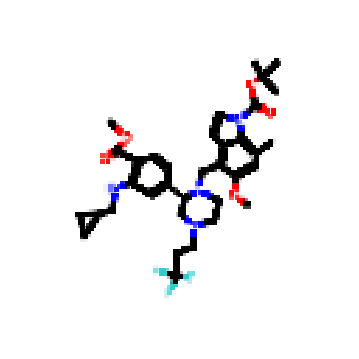 COC(=O)c1ccc([C@@H]2CN(CCC(F)(F)F)CCN2Cc2c(OC)cc(C)c3c2ccn3C(=O)OC(C)(C)C)cc1NCC1CC1